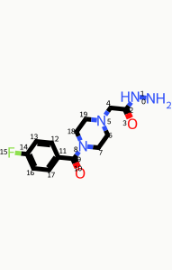 NNC(=O)CN1CCN(C(=O)c2ccc(F)cc2)CC1